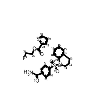 NC(=O)c1ccc(S(=O)(=O)N2CCCc3ccccc32)cc1.O=C(OCCF)c1cccs1